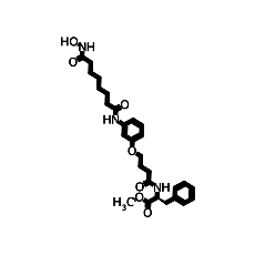 COC(=O)[C@H](Cc1ccccc1)NC(=O)CCCOc1cccc(NC(=O)CCCCCCC(=O)NO)c1